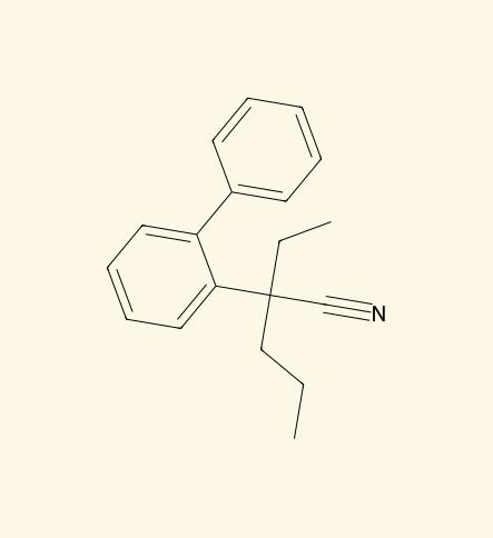 CCCC(C#N)(CC)c1ccccc1-c1ccccc1